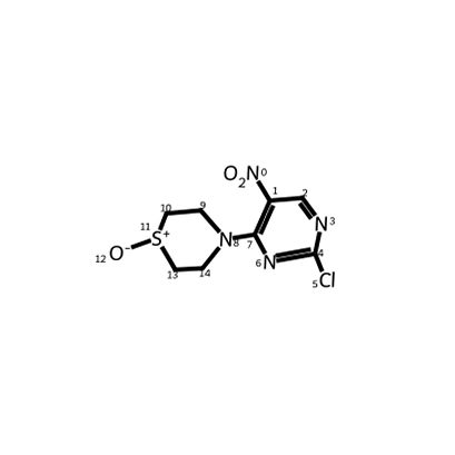 O=[N+]([O-])c1cnc(Cl)nc1N1CC[S+]([O-])CC1